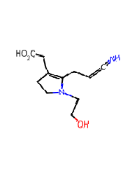 N=C=CCC1=C(CC(=O)O)CCN1CCO